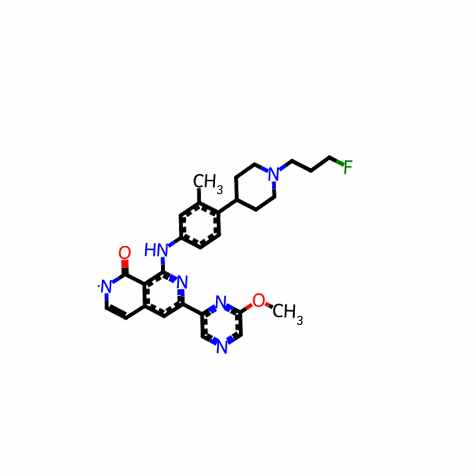 COc1cncc(-c2cc3c(c(Nc4ccc(C5CCN(CCCF)CC5)c(C)c4)n2)C(=O)[N]C=C3)n1